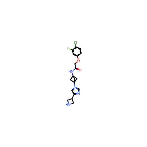 O=C(COc1ccc(Cl)c(F)c1)NC12CC(n3cnc(C4CNC4)c3)(C1)C2